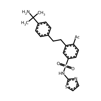 CC(=O)c1ccc(S(=O)(=O)Nc2nccs2)cc1CCc1ccc(C(C)(C)N)cc1